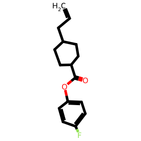 C=CCC1CCC(C(=O)Oc2ccc(F)cc2)CC1